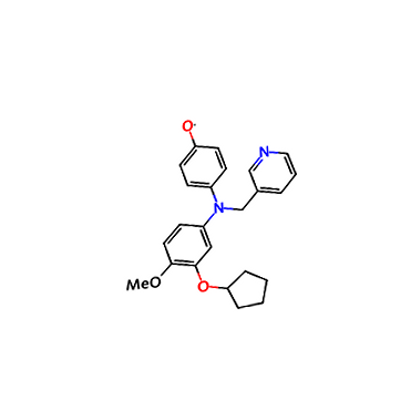 COc1ccc(N(Cc2cccnc2)c2ccc([O])cc2)cc1OC1CCCC1